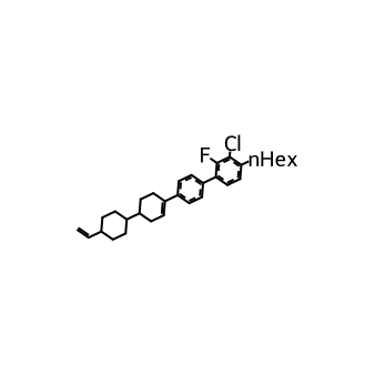 C=CC1CCC(C2CC=C(c3ccc(-c4ccc(CCCCCC)c(Cl)c4F)cc3)CC2)CC1